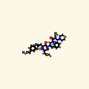 C=C(CN1CCSCC1)C(=O)NCC(Cc1ccccc1)NC(=O)[C@H](Cc1nc2ccc(CC)cc2s1)NC(=O)CC